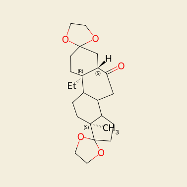 CC[C@]12CCC3(C[C@@H]1C(=O)CC1C2CC[C@@]2(C)C1CCC21OCCO1)OCCO3